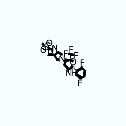 CS(=O)(=O)n1cc2c(n1)CN([C@@H]1C[C@H](N)[C@@H](c3cc(F)ccc3F)O[C@@H]1C(F)(F)F)C2